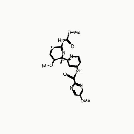 COc1cnc(C(=O)Nc2ccnc([C@@]3(C)N=C(NC(=O)OC(C)(C)C)SCC3OC)c2)nc1